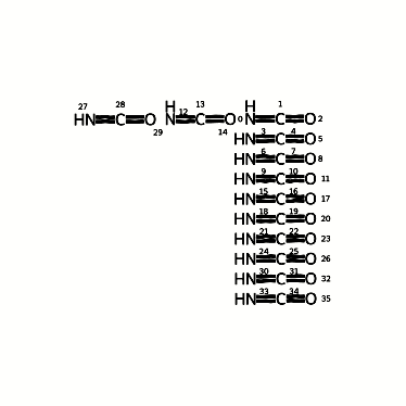 N=C=O.N=C=O.N=C=O.N=C=O.N=C=O.N=C=O.N=C=O.N=C=O.N=C=O.N=C=O.N=C=O.N=C=O